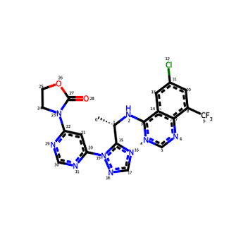 C[C@H](Nc1ncnc2c(C(F)(F)F)cc(Cl)cc12)c1ncnn1-c1cc(N2CCOC2=O)ncn1